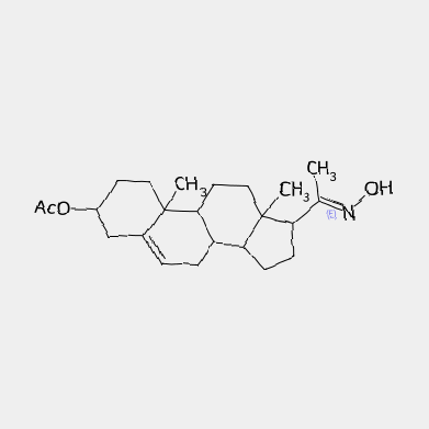 CC(=O)OC1CCC2(C)C(=CCC3C2CCC2(C)C(/C(C)=N/O)CCC32)C1